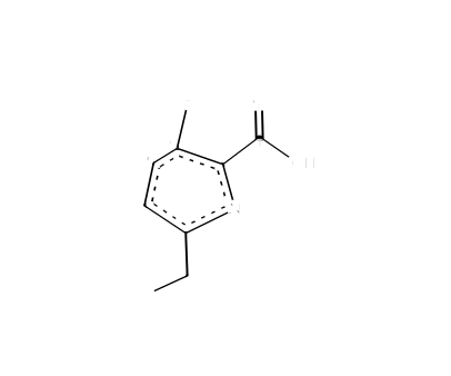 CCc1ccc(F)c(C(=O)O)n1